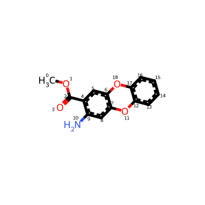 COC(=O)c1cc2c(cc1N)Oc1ccccc1O2